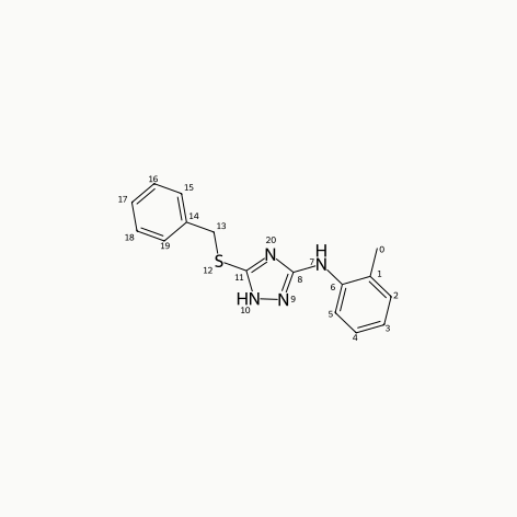 Cc1ccccc1Nc1n[nH]c(SCc2ccccc2)n1